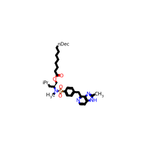 CCCCCCCCCCCCCCCCCC(=O)OC[C@H](CC(C)C)N(C)S(=O)(=O)c1ccc(Cc2nccc3[nH]c(C)nc23)cc1